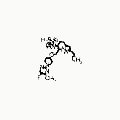 CCc1cc2n(n1)C(COC1CCN(c3ncc(F)c(C)n3)CC1)C(NS(C)(=O)=O)CC2